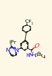 CC(C)c1nccn1-c1cc(C(=O)NC(C)(C)C)cc(-c2ccc(C(F)(F)F)cc2)c1